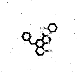 CN1CC=Cc2c(Cc3c[c]ccc3)cc3c(=O)n([C@H]4CCCC[C@@H]4O)cnc3c21